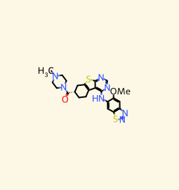 COc1cc2nnsc2cc1Nc1ncnc2sc3c(c12)CC[C@H](C(=O)N1CCN(C)CC1)C3